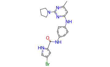 Cc1cc(Nc2ccc(NC(=O)c3cc(Br)c[nH]3)cc2)nc(N2CCCC2)n1